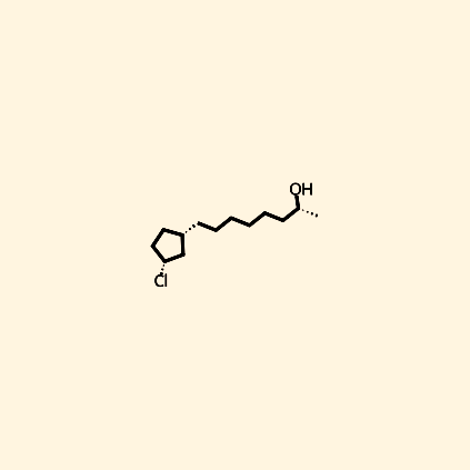 C[C@@H](O)CCCCCC[C@H]1CC[C@@H](Cl)C1